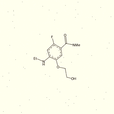 CCNc1cc(F)c(C(=O)NC)cc1OCCO